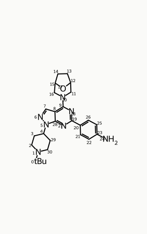 CC(C)(C)N1CCC(n2ncc3c(N4CC5CCC(C4)O5)nc(-c4ccc(N)cc4)nc32)CC1